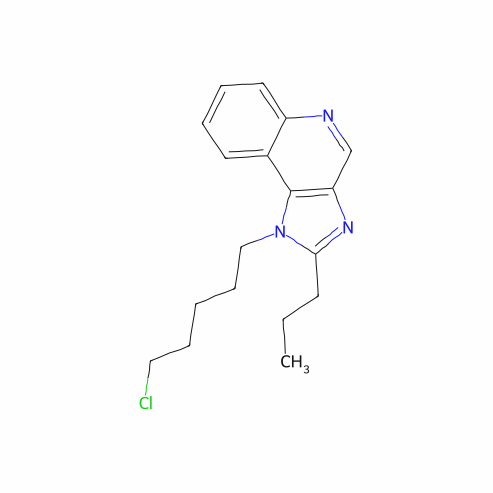 CCCc1nc2cnc3ccccc3c2n1CCCCCCl